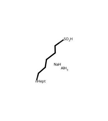 CCCCCCCCCCCCS(=O)(=O)O.[AlH3].[NaH]